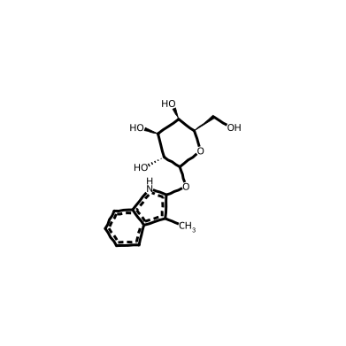 Cc1c(OC2O[C@H](CO)[C@H](O)[C@H](O)[C@H]2O)[nH]c2ccccc12